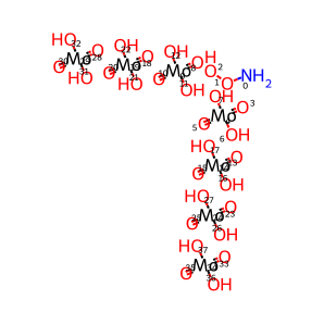 NOO.[O]=[Mo](=[O])([OH])[OH].[O]=[Mo](=[O])([OH])[OH].[O]=[Mo](=[O])([OH])[OH].[O]=[Mo](=[O])([OH])[OH].[O]=[Mo](=[O])([OH])[OH].[O]=[Mo](=[O])([OH])[OH].[O]=[Mo](=[O])([OH])[OH]